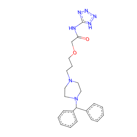 O=C(COCCCN1CCN(C(c2ccccc2)c2ccccc2)CC1)Nc1nnn[nH]1